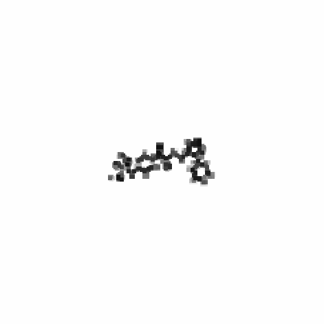 COP(=O)(Cc1ccc(NC(=O)CCc2cnoc2-c2ccccc2)cc1)OC